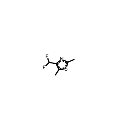 Cc1nc(C(F)F)c(C)s1